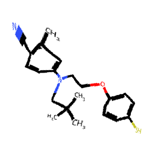 Cc1cc(N(CCOc2ccc(S)cc2)CC(C)(C)C)ccc1C#N